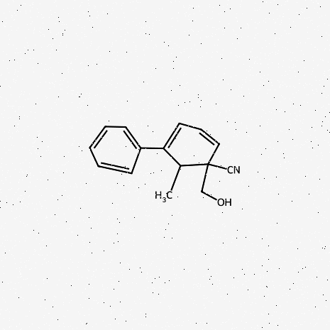 CC1C(c2ccccc2)=CC=CC1(C#N)CO